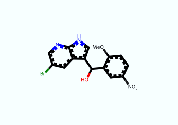 COc1ccc([N+](=O)[O-])cc1C(O)c1c[nH]c2ncc(Br)cc12